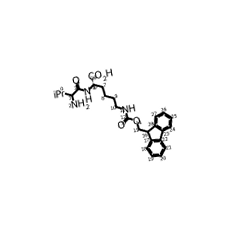 CC(C)C(N)C(=O)N[C@@H](CCCCNC(=O)OCC1c2ccccc2-c2ccccc21)C(=O)O